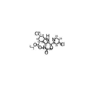 CCOC(=O)c1cc(Cl)cc2[nH]c(C(=O)c3cc(Cl)ccn3)c(N(C)C(C)=O)c12